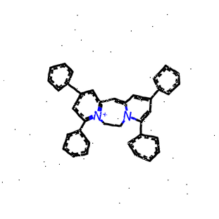 C1=C(c2ccccc2)C=C(c2ccccc2)N2CC[n+]3c(cc(-c4ccccc4)cc3-c3ccccc3)C=C12